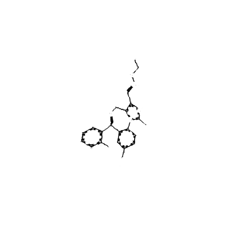 CCNN=Cc1nc(C)n2c1CN=C(c1ccccc1Cl)c1cc(Cl)ccc1-2